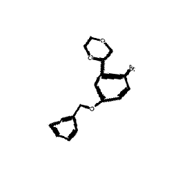 Brc1ccc(OCc2ccccc2)cc1C1COCCO1